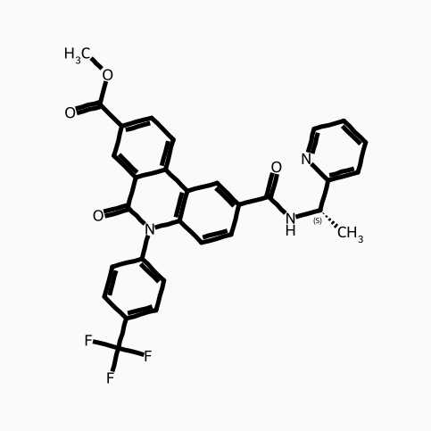 COC(=O)c1ccc2c(c1)c(=O)n(-c1ccc(C(F)(F)F)cc1)c1ccc(C(=O)N[C@@H](C)c3ccccn3)cc21